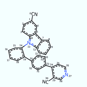 N#Cc1ccc2c(c1)c1ccccc1n2-c1ccccc1-c1ccc(-c2ccncc2C#N)cc1